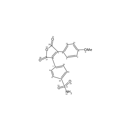 COc1ccc(C2=C(c3ccc(S(N)(=O)=O)cc3)C(=O)OC2=O)cc1